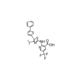 CC(C)c1nc(Nc2ncc(C(F)(F)F)cc2C(=O)O)sc1-c1ccc(-c2ccccc2)s1